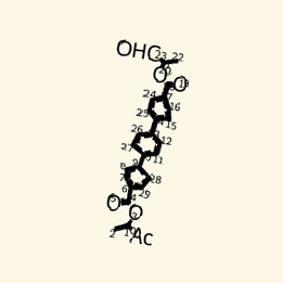 CC(=O)C(C)OC(=O)c1ccc(-c2ccc(-c3ccc(C(=O)OC(C)C=O)cc3)cc2)cc1